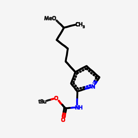 COC(C)CCCc1ccnc(NC(=O)OC(C)(C)C)c1